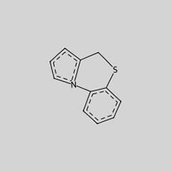 c1ccc2c(c1)SCc1cccn1-2